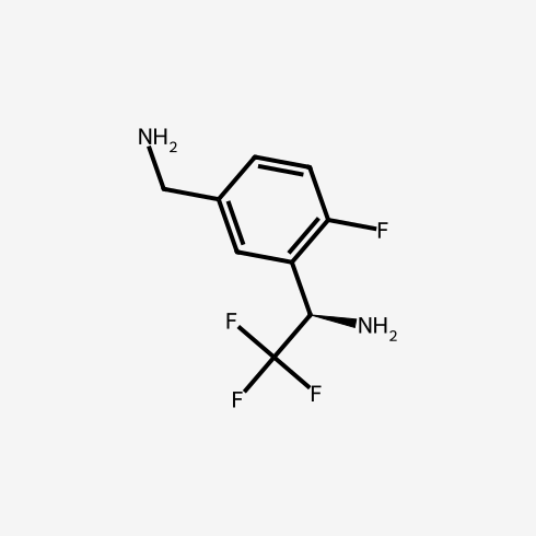 NCc1ccc(F)c([C@@H](N)C(F)(F)F)c1